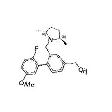 COc1ccc(F)c(-c2ccc(CO)cc2CN2[C@H](C)CC[C@H]2C)c1